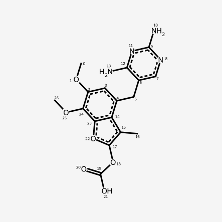 COc1cc(Cc2cnc(N)nc2N)c2c(C)c(OC(=O)O)oc2c1OC